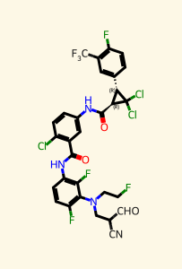 N#CC(C=O)CN(CCF)c1c(F)ccc(NC(=O)c2cc(NC(=O)[C@H]3[C@H](c4ccc(F)c(C(F)(F)F)c4)C3(Cl)Cl)ccc2Cl)c1F